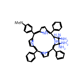 CNc1ccc(/C2=c3\cc/c([nH]3)=C(\c3ccccc3)C3N/C(=C(/c4ccccc4)c4ccc([nH]4)/C(c4ccccc4)=C4/C=CC2=N4)C(N)(N)C3(N)N)cc1